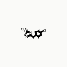 Clc1ccc(Cc2noc(C(Cl)(Cl)Cl)n2)cc1